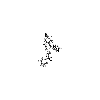 O=C(OCC1COC(Cn2ccnc2)(c2ccc(F)cc2F)O1)c1ccccc1